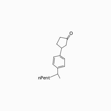 CCCCCC(C)c1ccc(C2CCC(=O)C2)cc1